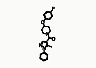 Cc1c(C(=O)N2CCC(Oc3ccc(F)cc3)CC2)cnn1-c1ccccc1